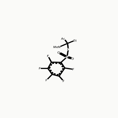 CCC(CS(=O)(=O)c1c(F)c(F)c(F)c(F)c1F)(NC)C(C)=O